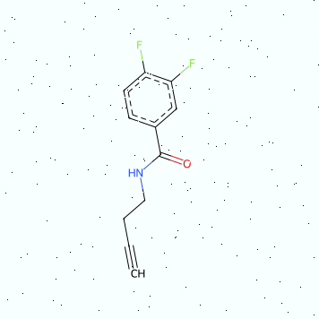 C#CCCNC(=O)c1ccc(F)c(F)c1